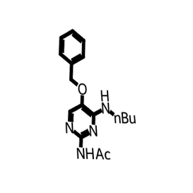 CCCCNc1nc(NC(C)=O)ncc1OCc1ccccc1